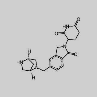 O=C1CCC(N2Cc3cc(CN4C[C@H]5C[C@@H]4CN5)ccc3C2=O)C(=O)N1